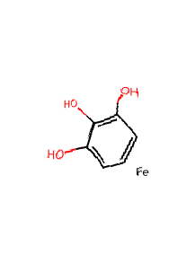 Oc1cccc(O)c1O.[Fe]